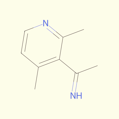 CC(=N)c1c(C)ccnc1C